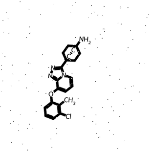 Cc1c(Cl)cccc1Oc1cccn2c(C34CCC(N)(CC3)CC4)nnc12